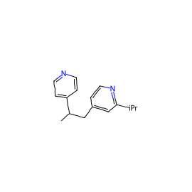 CC(C)c1cc(CC(C)c2ccncc2)ccn1